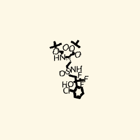 CC(C)(C)OC(=O)N[C@@H](CCS(=N)(=O)CCC(O)(c1ccccc1Cl)C(F)(F)F)C(=O)OC(C)(C)C